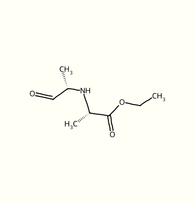 CCOC(=O)[C@H](C)N[C@@H](C)C=O